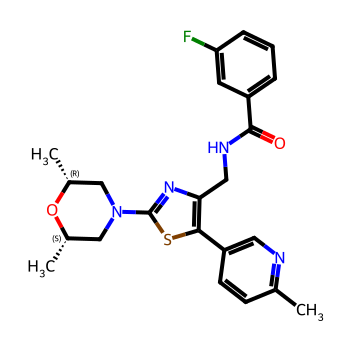 Cc1ccc(-c2sc(N3C[C@@H](C)O[C@@H](C)C3)nc2CNC(=O)c2cccc(F)c2)cn1